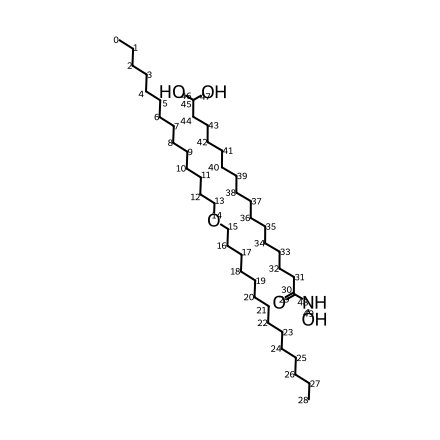 CCCCCCCCCCCCCCOCCCCCCCCCCCCCC.O=C(CCCCCCCCCCCCCCC(O)O)NO